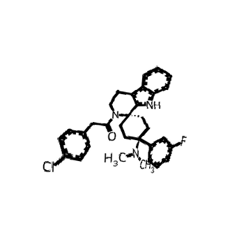 CN(C)[C@]1(c2cccc(F)c2)CC[C@@]2(CC1)c1[nH]c3ccccc3c1CCN2C(=O)Cc1ccc(Cl)cc1